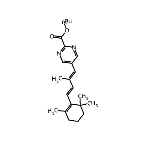 CCCCOC(=O)c1ncc(/C=C(\C)C=CC2=C(C)CCCC2(C)C)cn1